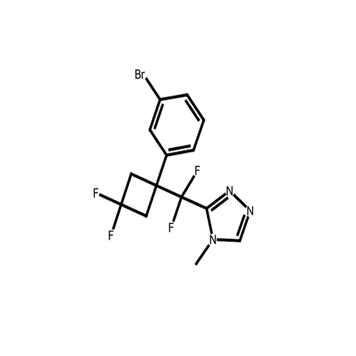 Cn1cnnc1C(F)(F)C1(c2cccc(Br)c2)CC(F)(F)C1